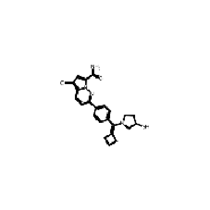 NC(=O)c1cc(Cl)c2ccc(-c3ccc(C(=C4CCC4)N4CCC(S)C4)cc3)nn12